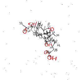 CC(=O)C1C[C@@H]2C[C@@](O)(C(C)=O)CC[C@]2(C)[C@H]2C[C@H](O)[C@]3(C)[C@@H]([C@H](C)CCC(=O)O)CC[C@H]3[C@H]12